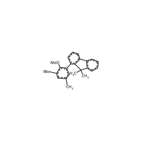 COc1c(-c2cccc3c2C(C)(C)c2ccccc2-3)cc(C)cc1C(C)(C)C